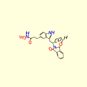 O=C(CCc1ccc2[nH]cc(C[C@@H](C(=O)O)N3C(=O)c4ccccc4C3=O)c2c1)NO